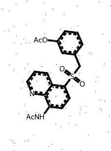 CC(=O)Nc1ccc(S(=O)(=O)Cc2cccc(OC(C)=O)c2)c2cccnc12